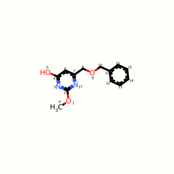 COc1nc(O)cc(COCc2ccccc2)n1